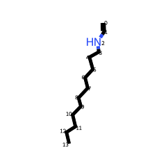 C=CNCCCCCCCCCCC